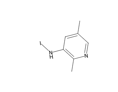 Cc1cnc(C)c(NI)c1